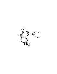 CCN(CC)c1cc(=O)[nH]c2c(C)cccc12.Cl